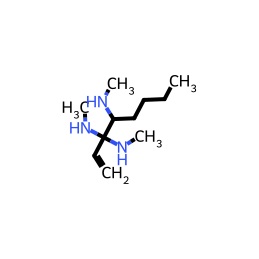 C=CC(NC)(NC)C(CCCC)NC